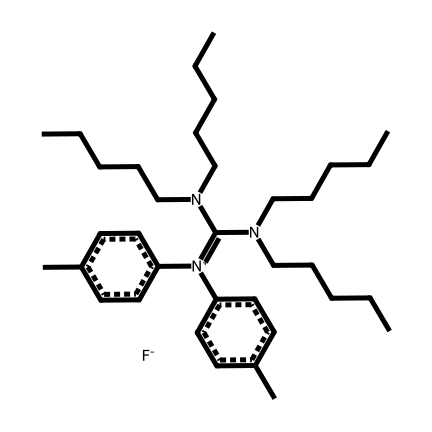 CCCCCN(CCCCC)C(N(CCCCC)CCCCC)=[N+](c1ccc(C)cc1)c1ccc(C)cc1.[F-]